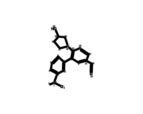 C[S+]([O-])c1cccc(-c2cc(C=O)cnc2N2CCC(O)C2)c1